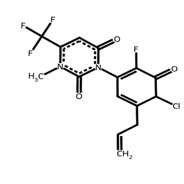 C=CCC1=CC(n2c(=O)cc(C(F)(F)F)n(C)c2=O)=C(F)C(=O)C1Cl